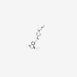 CC1(C)CCC(C)(C)c2cc(-c3nc(C4CCN(C(CN)CCCCO)CC4)cs3)ccc21